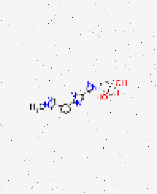 Cn1cc(-c2cccc(-c3ncc(-c4cnn([C@@H]5CC[C@]6(CO)COC[C@]6(O)C5)c4)cn3)c2)cn1